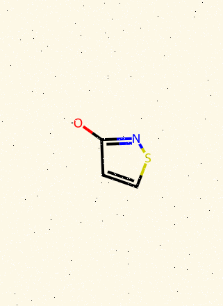 [O]c1ccsn1